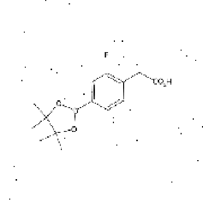 CC1(C)OB(c2ccc(CC(=O)O)c(F)c2)OC1(C)C